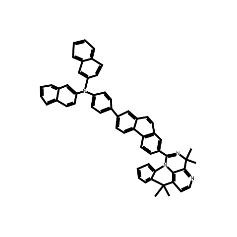 CC1(C)N=C(c2ccc3c(ccc4cc(-c5ccc(N(c6ccc7ccccc7c6)c6ccc7ccccc7c6)cc5)ccc43)c2)N2c3ccccc3C(C)(C)c3ccnc1c32